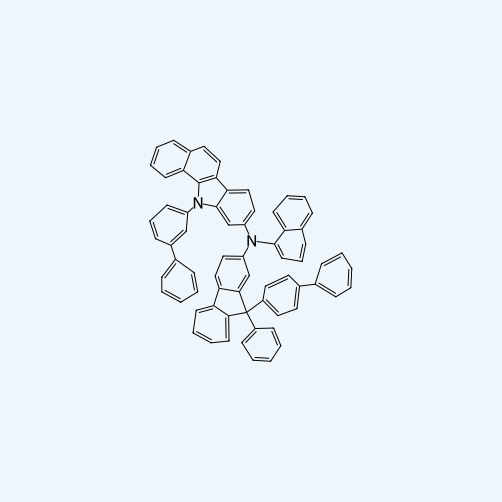 c1ccc(-c2ccc(C3(c4ccccc4)c4ccccc4-c4ccc(N(c5ccc6c7ccc8ccccc8c7n(-c7cccc(-c8ccccc8)c7)c6c5)c5cccc6ccccc56)cc43)cc2)cc1